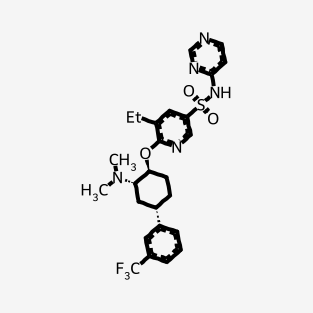 CCc1cc(S(=O)(=O)Nc2ccncn2)cnc1O[C@H]1CC[C@H](c2cccc(C(F)(F)F)c2)C[C@@H]1N(C)C